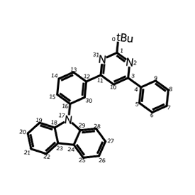 CC(C)(C)c1nc(-c2ccccc2)cc(-c2cccc(-n3c4ccccc4c4ccccc43)c2)n1